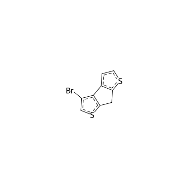 Brc1csc2c1-c1ccsc1C2